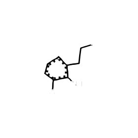 Nc1c(O)cccc1CCI